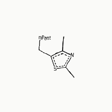 CCCCCCc1sc(C)nc1C